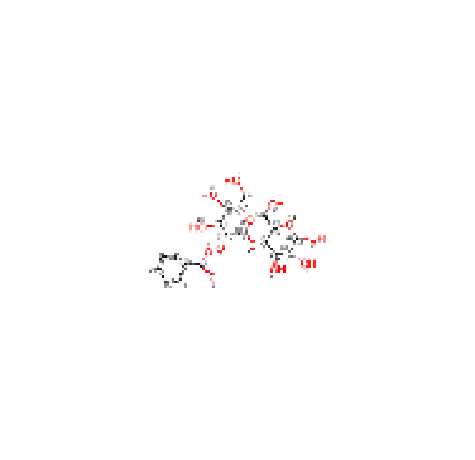 O=C(OO[C@H]1[C@H](O[C@H]2[C@H](O)[C@@H](O)[C@H](O)O[C@@H]2CO)O[C@H](CO)[C@H](O)[C@@H]1O)c1ccccc1